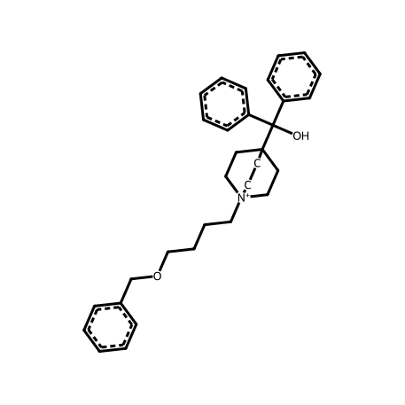 OC(c1ccccc1)(c1ccccc1)C12CC[N+](CCCCOCc3ccccc3)(CC1)CC2